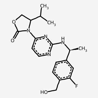 CC(C)C1COC(=O)N1c1ccnc(N[C@@H](C)c2ccc(CO)c(F)c2)n1